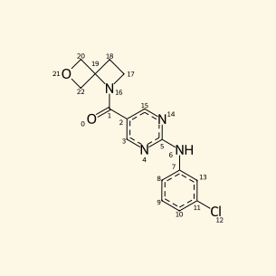 O=C(c1cnc(Nc2cccc(Cl)c2)nc1)N1CCC12COC2